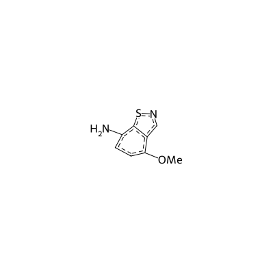 COc1ccc(N)c2sncc12